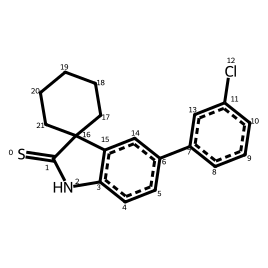 S=C1Nc2ccc(-c3cccc(Cl)c3)cc2C12CCCCC2